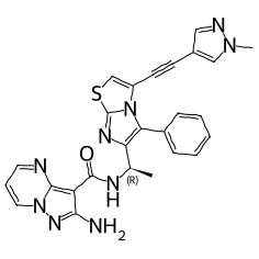 C[C@@H](NC(=O)c1c(N)nn2cccnc12)c1nc2scc(C#Cc3cnn(C)c3)n2c1-c1ccccc1